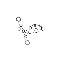 COCOCCC(COCc1ccccc1)(COCc1ccc(OC)cc1)OCC(=O)OCc1ccccc1